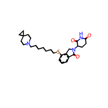 O=C1CCC(N2Cc3c(SCCCCCCCN4CCC5(CC4)CC5)cccc3C2=O)C(=O)N1